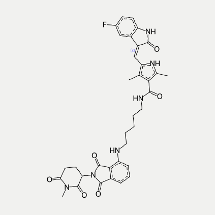 Cc1[nH]c(/C=C2\C(=O)Nc3ccc(F)cc32)c(C)c1C(=O)NCCCCCNc1cccc2c1C(=O)N(C1CCC(=O)N(C)C1=O)C2=O